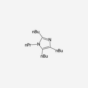 CCCCc1nc(CCCC)n(CCC)c1CCCC